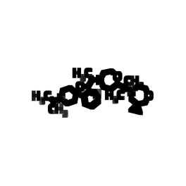 CC(C)N1CCC(OCC(C)N2CCOC(C(C)(C)N3CCOCC4(CC4)C3)CC2)(c2cccnc2)CC1